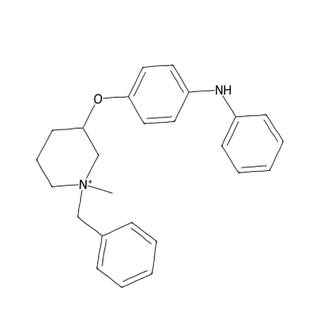 C[N+]1(Cc2ccccc2)CCCC(Oc2ccc(Nc3ccccc3)cc2)C1